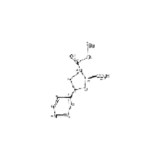 CC(C)(C)OC(=O)N1C[C@H](c2ccncc2)C[C@@H]1C(=O)O